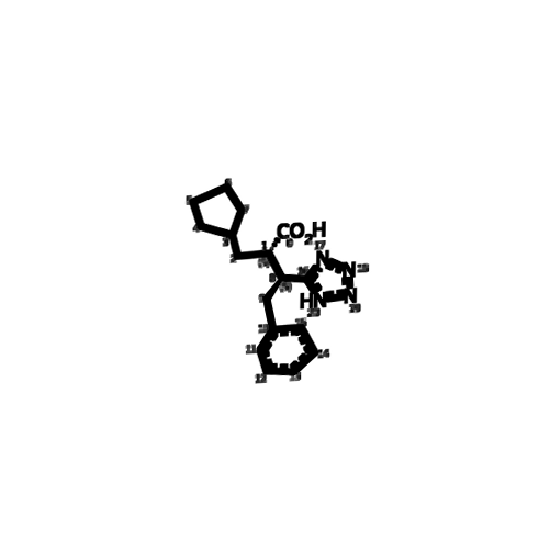 O=C(O)[C@@H](CC1CCCC1)[C@H](Cc1ccccc1)c1nnn[nH]1